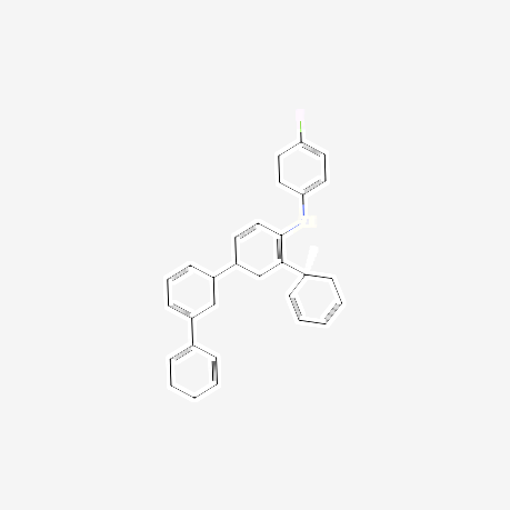 C[C@@]1(C2=C(NC3=CC=C(F)CC3)C=CC(C3C=CC=C(C4=CCCC=C4)C3)C2)C=CC=CC1